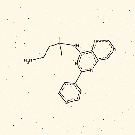 CC(C)(CCN)Nc1nc(-c2ccncc2)nc2cnccc12